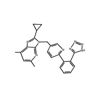 Cc1cc(C)c2nc(C3CC3)n(Cc3ccc(-c4ccccc4-c4nnn[nH]4)nc3)c2n1